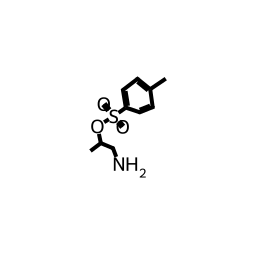 Cc1ccc(S(=O)(=O)OC(C)CN)cc1